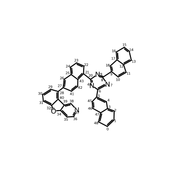 c1ccc2cc(-c3nc(-c4ccc5ccccc5c4)nc(-c4cccc5cc(-c6cccc7oc8ccncc8c67)ccc45)n3)ccc2c1